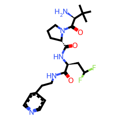 CC(C)(C)[C@H](N)C(=O)N1CCC[C@H]1C(=O)N[C@@H](CC(F)F)C(=O)NCCc1ccncc1